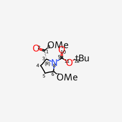 COC(=O)[C@H]1CCC(OC)N1C(=O)OC(C)(C)C